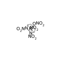 O=[N+]([O-])OC12CC3N([N+](=O)[O-])C(C1)N([N+](=O)[O-])C(C2)N3[N+](=O)[O-]